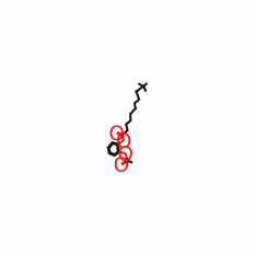 CC(=O)Oc1ccccc1OC(=O)CCCCCCCCC(C)(C)C